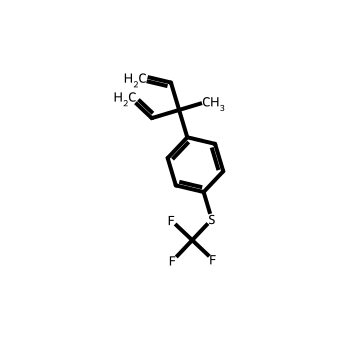 C=CC(C)(C=C)c1ccc(SC(F)(F)F)cc1